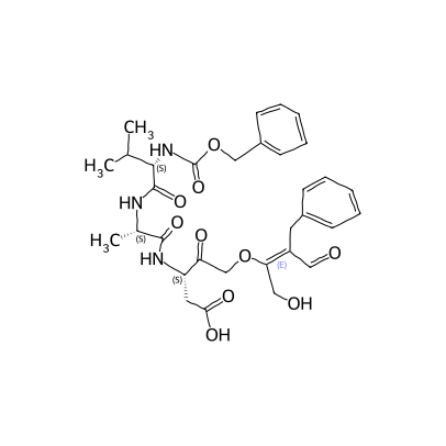 CC(C)[C@H](NC(=O)OCc1ccccc1)C(=O)N[C@@H](C)C(=O)N[C@@H](CC(=O)O)C(=O)CO/C(CO)=C(/C=O)Cc1ccccc1